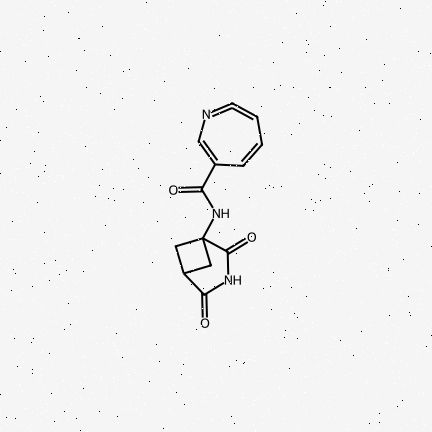 O=C(NC12CC(C1)C(=O)NC2=O)C1=CN=C=CC=C1